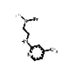 CC(C)N(CCNc1cc(C(F)(F)F)ccn1)C(C)C